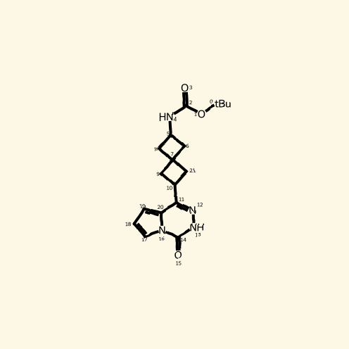 CC(C)(C)OC(=O)NC1CC2(C1)CC(c1n[nH]c(=O)n3cccc13)C2